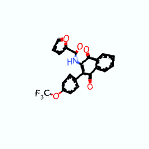 O=C(NC1=C(c2ccc(OC(F)(F)F)cc2)C(=O)c2ccccc2C1=O)c1ccco1